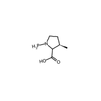 C[C@@H]1CCN(P)C1C(=O)O